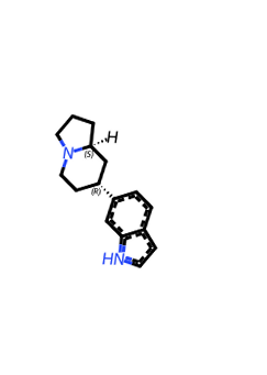 c1cc2ccc([C@@H]3CCN4CCC[C@H]4C3)cc2[nH]1